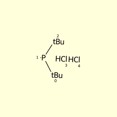 CC(C)(C)[P]C(C)(C)C.Cl.Cl